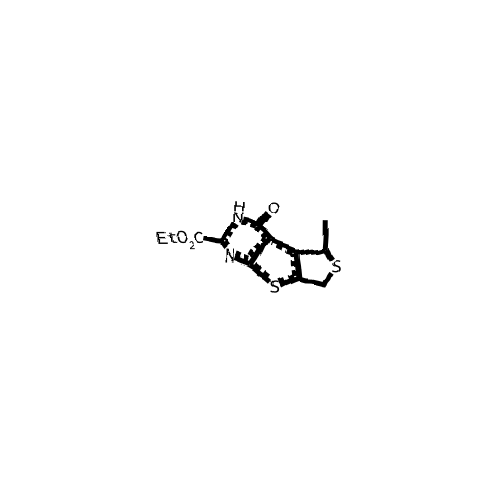 CCOC(=O)c1nc2sc3c(c2c(=O)[nH]1)C(C)SC3